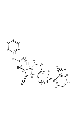 O=C(Cc1ccccc1)N[C@@H]1C(=O)N2C(C(=O)O)=C(CSc3ccccc3C(=O)O)CS[C@H]12